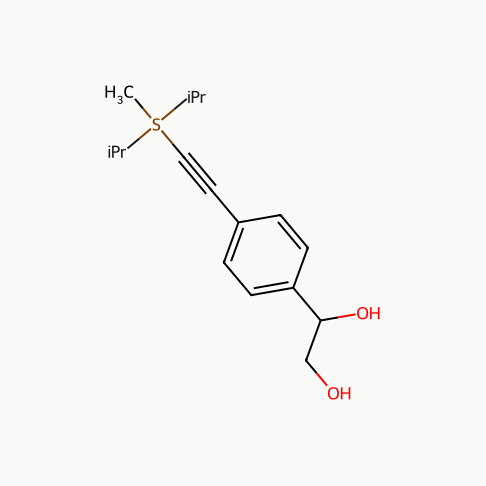 CC(C)S(C)(C#Cc1ccc(C(O)CO)cc1)C(C)C